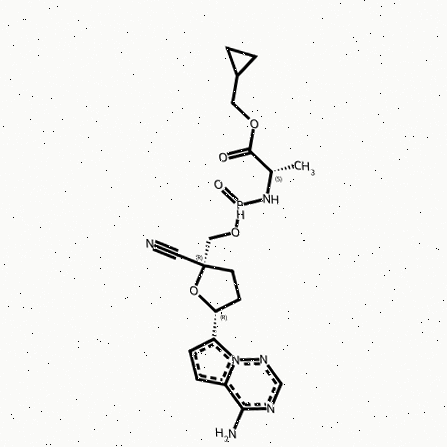 C[C@H](N[PH](=O)OC[C@]1(C#N)CC[C@H](c2ccc3c(N)ncnn23)O1)C(=O)OCC1CC1